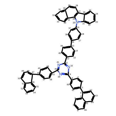 c1ccc2c(-c3ccc(-c4nc(-c5ccc(-c6ccc(-n7c8ccccc8c8ccc9ccccc9c87)cc6)cc5)nc(-c5ccc(-c6cccc7ccccc67)cc5)n4)cc3)cccc2c1